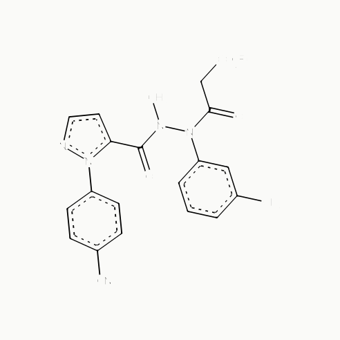 CCOC(=O)CC(=O)N(c1cccc(C(F)(F)F)c1)N(C)C(=O)c1ccnn1-c1ccc(C#N)cc1